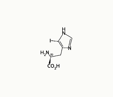 N[C@@H](Cc1nc[nH]c1I)C(=O)O